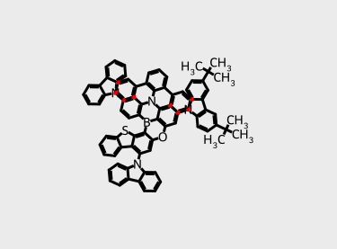 CC(C)(C)c1ccc2c(c1)c1cc(C(C)(C)C)ccc1n2-c1cc2c3c(c1)N(c1c(-c4ccccc4)cccc1-c1ccccc1)c1cc(-n4c5ccccc5c5ccccc54)ccc1B3c1c(cc(-n3c4ccccc4c4ccccc43)c3c1sc1ccccc13)O2